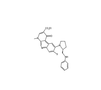 CCOC(=O)c1cn(C)c2cnc3cc(F)c(N4CCC[C@H]4CNc4ccccc4)cc3c2c1=O